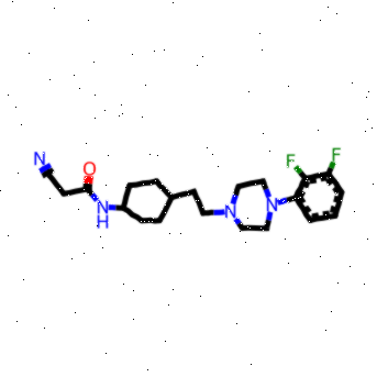 N#CCC(=O)NC1CCC(CCN2CCN(c3cccc(F)c3F)CC2)CC1